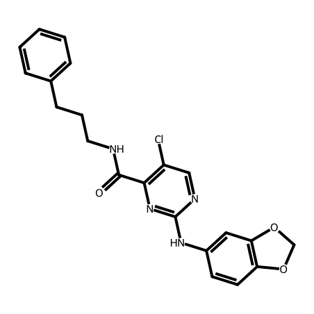 O=C(NCCCc1ccccc1)c1nc(Nc2ccc3c(c2)OCO3)ncc1Cl